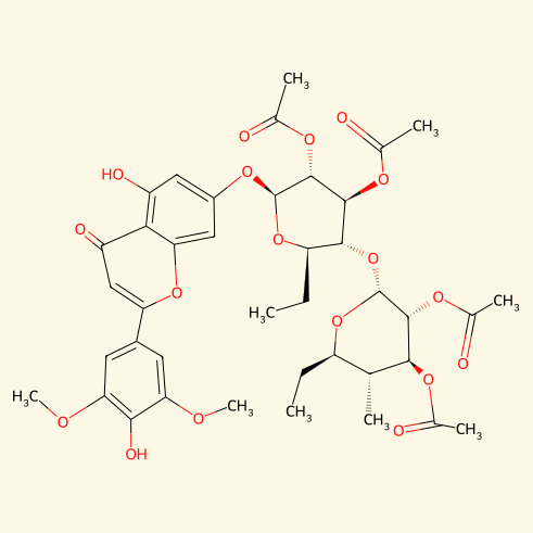 CC[C@H]1O[C@H](O[C@H]2[C@H](OC(C)=O)[C@@H](OC(C)=O)[C@H](Oc3cc(O)c4c(=O)cc(-c5cc(OC)c(O)c(OC)c5)oc4c3)O[C@@H]2CC)[C@H](OC(C)=O)[C@@H](OC(C)=O)[C@@H]1C